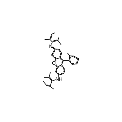 C/C=C(/C)C(/N=c1\ccc2c(-c3ccccc3C)c3ccc(NC(=C(C)C)/C(C)=C\C)cc3oc-2c1)=C(C)C